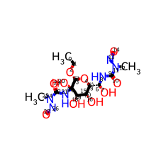 CCO[C@H]1O[C@H](C(O)NC(=O)N(C)N=O)[C@@H](O)[C@H](O)[C@]1(O)NC(=O)N(C)N=O